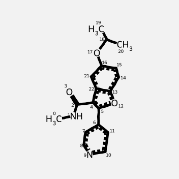 CNC(=O)c1c(-c2ccncc2)oc2ccc(OC(C)C)cc12